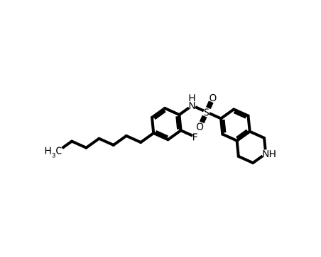 CCCCCCCc1ccc(NS(=O)(=O)c2ccc3c(c2)CCNC3)c(F)c1